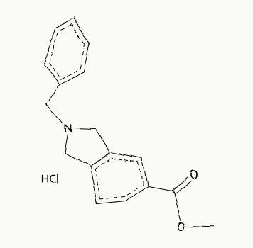 COC(=O)c1ccc2c(c1)CN(Cc1ccccc1)C2.Cl